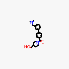 CN(C)Cc1cccc(-c2ccc(C(=O)N3CCC(CO)CC3)cc2)c1